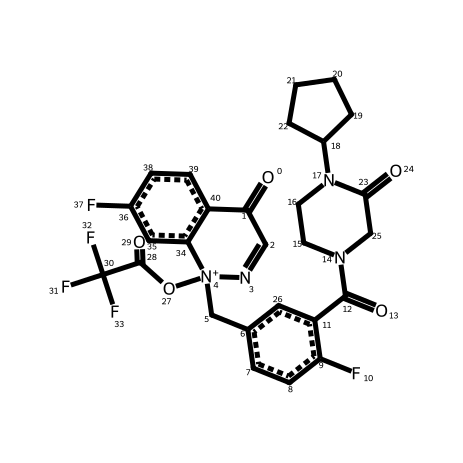 O=C1C=N[N+](Cc2ccc(F)c(C(=O)N3CCN(C4CCCC4)C(=O)C3)c2)(OC(=O)C(F)(F)F)c2cc(F)ccc21